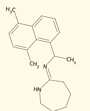 Cc1ccc(C)c2c(C(C)N=C3CCCCCN3)cccc12